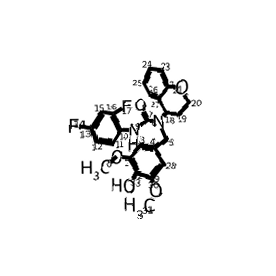 COc1cc(CN(C(=O)Nc2ccc(F)cc2F)C2CCOc3ccccc32)cc(OC)c1O